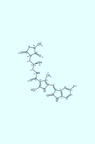 Cc1[nH]c(C=C2C(=O)Nc3ccc(F)cc32)c(C)c1C(=O)NC[C@H](O)CN1C(=O)CN(C)C1=O